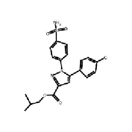 CC(C)COC(=O)c1cc(-c2ccc(Cl)cc2)n(-c2ccc(S(N)(=O)=O)cc2)n1